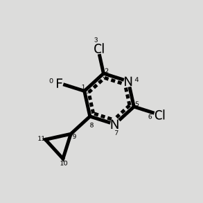 Fc1c(Cl)nc(Cl)nc1C1CC1